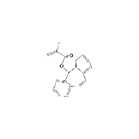 C=C(C)C(=O)OC1c2ccccc2C=Cc2ccccc21